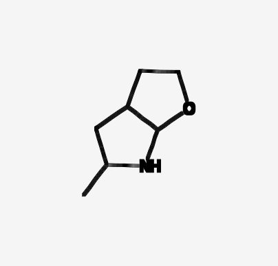 CC1CC2CCOC2N1